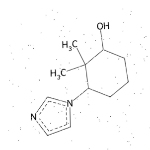 CC1(C)C(O)CCCC1n1ccnc1